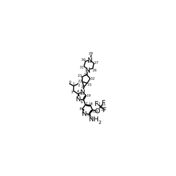 CC(C)Cc1nc(-c2cnc(N)c(OC(F)(F)F)c2)cn1C1C2CC(N3CCN(C)CC3)CC21